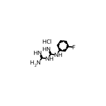 Cl.N=C(N)NC(=N)Nc1cccc(F)c1